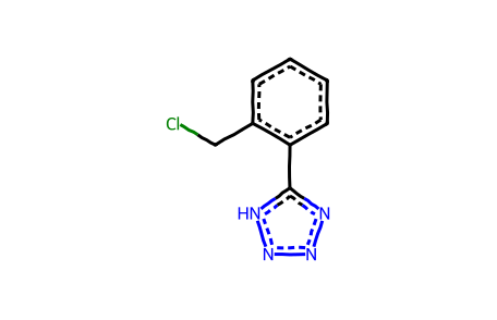 ClCc1ccccc1-c1nnn[nH]1